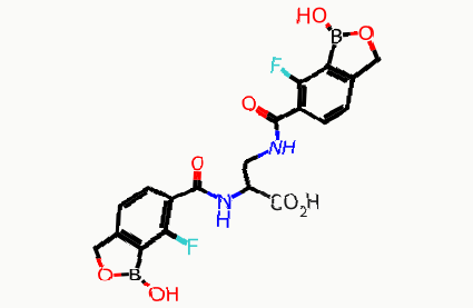 O=C(NCC(NC(=O)c1ccc2c(c1F)B(O)OC2)C(=O)O)c1ccc2c(c1F)B(O)OC2